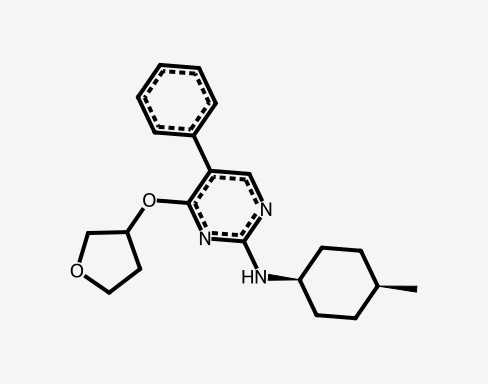 C[C@H]1CC[C@@H](Nc2ncc(-c3ccccc3)c(OC3CCOC3)n2)CC1